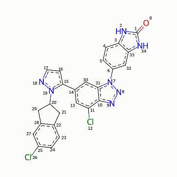 O=c1[nH]c2ccc(-n3nnc4c(Cl)cc(-c5ccnn5C5Cc6ccc(Cl)cc6C5)cc43)cc2[nH]1